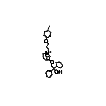 Cc1ccc(OCCC[N+]23CCC(CC2)C(OCC(O)(c2ccccc2)C2CCCC2)C3)cc1